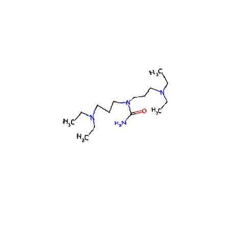 CCN(CC)CCCN(CCCN(CC)CC)C(N)=O